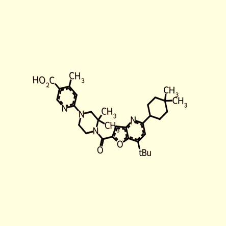 Cc1cc(N2CCN(C(=O)c3cc4nc(C5CCC(C)(C)CC5)cc(C(C)(C)C)c4o3)C(C)(C)C2)ncc1C(=O)O